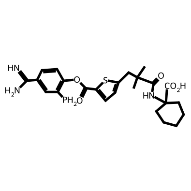 CC(C)(Cc1ccc(C(=O)Oc2ccc(C(=N)N)cc2P)s1)C(=O)NC1(C(=O)O)CCCCC1